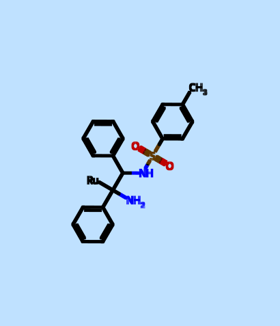 Cc1ccc(S(=O)(=O)NC(c2ccccc2)[C](N)([Ru])c2ccccc2)cc1